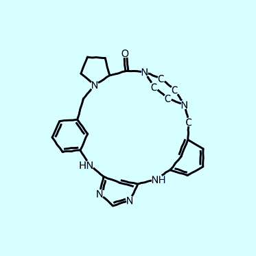 O=C1C2CCCN2Cc2cccc(c2)Nc2cc(ncn2)Nc2cccc(c2)CN2CCN1CC2